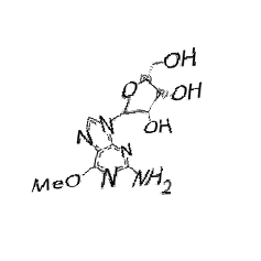 COc1nc(N)nc2c1ncn2C1O[C@H](CO)[C@H](O)C1O